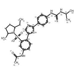 CCC1CCC(C)N1S(=O)(=O)c1cc(NC(C)=O)ccc1-c1cnc(-c2ccc(NC(=S)NC(C)C)cc2)s1